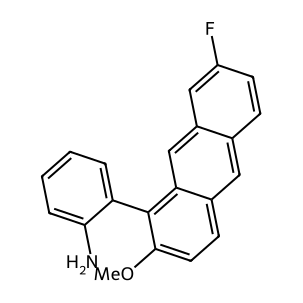 COc1ccc2cc3ccc(F)cc3cc2c1-c1ccccc1N